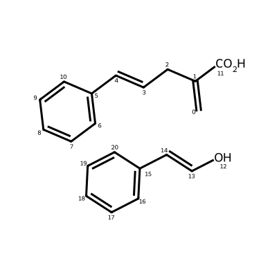 C=C(CC=Cc1ccccc1)C(=O)O.OC=Cc1ccccc1